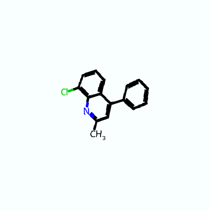 Cc1cc(-c2ccccc2)c2cccc(Cl)c2n1